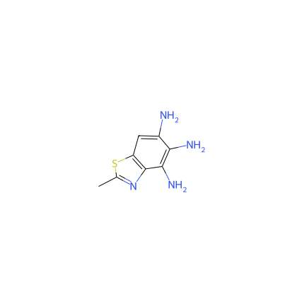 Cc1nc2c(N)c(N)c(N)cc2s1